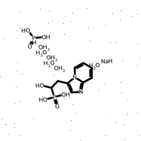 O.O.O.O.O.O.O=P(O)(O)C(O)Cc1cnc2ccccn12.O=[PH](O)O.[NaH]